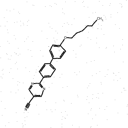 CCCCCCOc1ccc(-c2ccc(-c3ncc(C#N)cn3)cc2)cc1